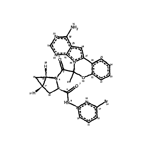 CC1(C(=O)N2[C@@H](C(=O)Nc3cccc(Br)n3)C[C@@H]3C[C@@H]32)Oc2ccccc2-c2cc3c(N)ncnc3n21